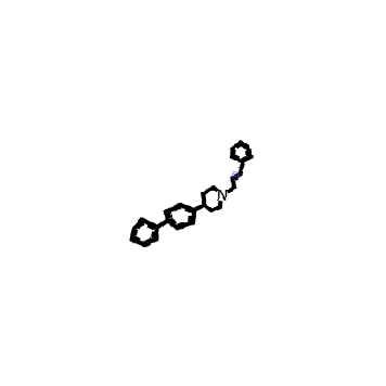 C(=C\c1ccccc1)/CN1CCC(c2ccc(-c3ccccc3)cc2)CC1